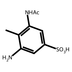 CC(=O)Nc1cc(S(=O)(=O)O)cc(N)c1C